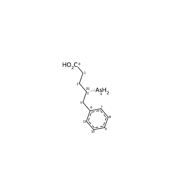 O=C(O)CC[C@H]([AsH2])Cc1ccccc1